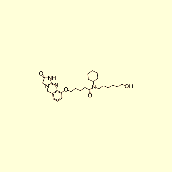 O=C1CN2Cc3cccc(OCCCCC(=O)N(CCCCCCO)C4CCCCC4)c3N=C2N1